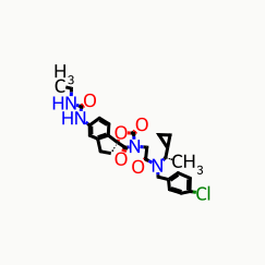 CCNC(=O)Nc1ccc2c(c1)CC[C@@]21OC(=O)N(CC(=O)N(Cc2ccc(Cl)cc2)[C@@H](C)C2CC2)C1=O